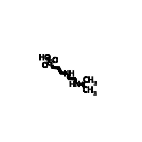 CC(C)NCCNCCCS(=O)(=O)O